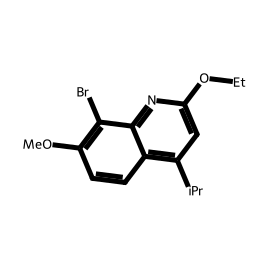 CCOc1cc(C(C)C)c2ccc(OC)c(Br)c2n1